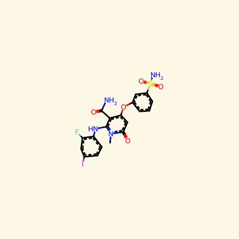 Cn1c(Nc2ccc(I)cc2F)c(C(N)=O)c(Oc2cccc(S(N)(=O)=O)c2)cc1=O